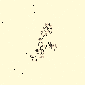 C[N+](C)(C)N.Nc1nc2ncc(CNc3ccc(C(=O)NC(CCC(=O)O)C(=O)O)cc3)nc2c(=O)[nH]1